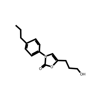 CCCc1ccc(-n2cc(CCCO)oc2=O)cc1